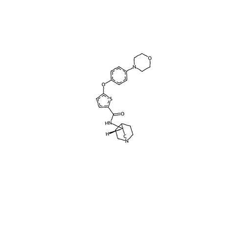 O=C(N[C@H]1CN2CCC1CC2)c1ccc(Oc2ccc(N3CCOCC3)cc2)s1